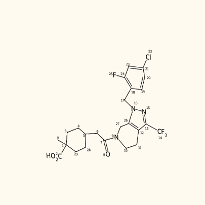 CC1(C(=O)O)CCC(CC(=O)N2CCc3c(C(F)(F)F)nn(Cc4ccc(Cl)cc4F)c3C2)CC1